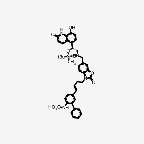 CC(C)(C)[Si](C)(C)O[C@@H](CNCc1ccc2c(c1)oc(=O)n2CC/C=C/c1ccc(NC(=O)O)c(-c2ccccc2)c1)c1ccc(O)c2[nH]c(=O)ccc12